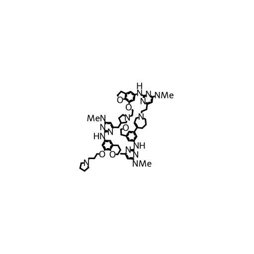 CNc1cc(C)nc(Nc2cc3c(c(C4=CCN(CCc5cc(NC)nc(Nc6cc7c(c(OCCN8CCC(Cc9cc(NC)nc(Nc%10cc%11c(c(OCCCN%12CCCC%12)c%10)OCCC%11)n9)C8)c6)OCC7)n5)CCC4)c2)OCC3)n1